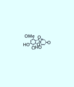 COc1cc(O)c(Cl)c2c1C(=O)[C@@]1(O2)C(O)=CC(=O)C[C@H]1C